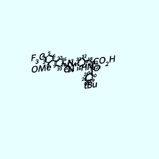 COc1cc(C(F)(F)F)ccc1-c1ccc(-c2nc(-c3ccc(CC(NC(=O)c4ccc(C(C)(C)C)cc4)C(=O)O)cc3)no2)cc1